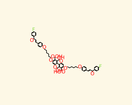 O=C(C=Cc1ccc(OCCCCCCOc2ccc(-c3ccc(OCCCCCCOc4ccc(C=CC(=O)c5ccc(F)cc5)cc4)c(C(=O)O)c3C(=O)O)c(C(=O)O)c2C(=O)O)cc1)c1ccc(F)cc1